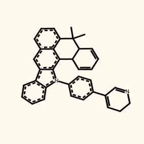 CC1(C)c2cccc3cc4c5ccccc5n(-c5ccc(C6=CCCN=C6)cc5)c4c(c23)C2C=CC=CC21